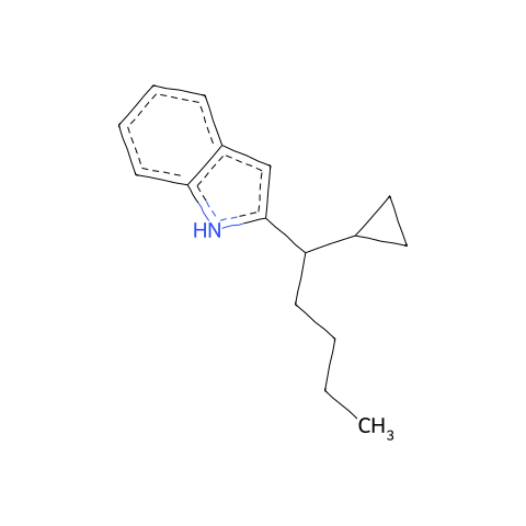 CCCCC(c1cc2ccccc2[nH]1)C1CC1